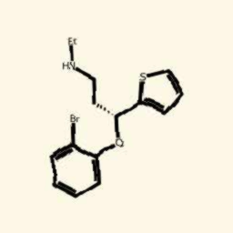 CCNCC[C@@H](Oc1ccccc1Br)c1cccs1